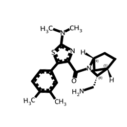 Cc1ccc(-c2sc(N(C)C)nc2C(=O)N2[C@@H]3CC[C@@H](C3)[C@@H]2CN)cc1C